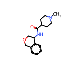 CN1CCC(C(=O)NC2COCc3ccccc32)CC1